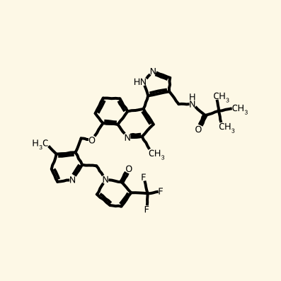 Cc1cc(-c2[nH]ncc2CNC(=O)C(C)(C)C)c2cccc(OCc3c(C)ccnc3Cn3cccc(C(F)(F)F)c3=O)c2n1